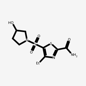 CCc1nc(C(N)=O)sc1S(=O)(=O)N1CCC(O)C1